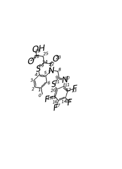 Cc1ccc2c(c1)N(Cc1nc3c(F)c(F)c(F)c(F)c3s1)C(=O)C(CC(=O)O)S2